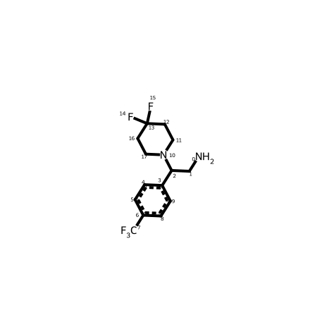 NCC(c1ccc(C(F)(F)F)cc1)N1CCC(F)(F)CC1